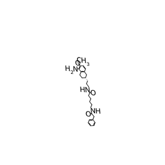 COc1ccc2c(c1N)CC[C@@H](CCCNC(=O)CCCCCNC(=O)Cc1ccccc1)C2